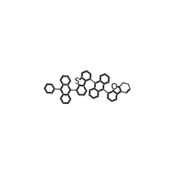 C1=Cc2c(oc3c(-c4c5ccccc5c(-c5cccc6sc7c(-c8c9ccccc9c(-c9ccccc9)c9ccccc89)cccc7c56)c5ccccc45)cccc23)CC1